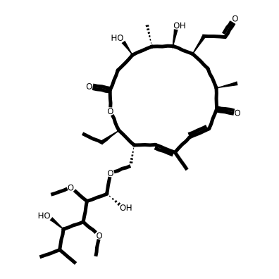 CC[C@H]1OC(=O)C[C@@H](O)[C@H](C)[C@@H](O)[C@@H](CC=O)C[C@@H](C)C(=O)/C=C/C(C)=C/[C@@H]1CO[C@H](O)C(OC)C(OC)[C@H](O)C(C)C